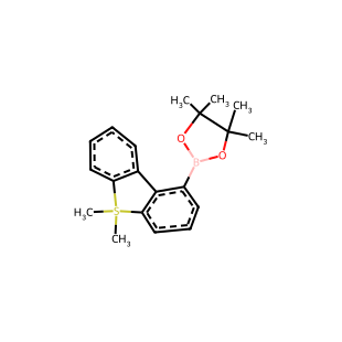 CC1(C)OB(c2cccc3c2-c2ccccc2S3(C)C)OC1(C)C